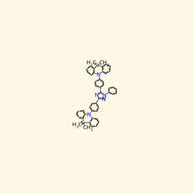 C[Si]1(C)c2ccccc2N(c2ccc(-c3nc(-c4ccc(N5c6ccccc6[Si](C)(C)c6ccccc65)cc4)n(-c4ccccc4)n3)cc2)c2ccccc21